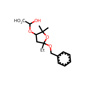 CCC1(OCc2ccccc2)CC(OC(O)C(=O)O)C(C)(C)O1